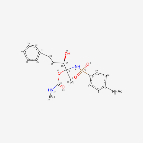 CC(=O)Nc1ccc(S(=O)(=O)NC(CC(C)C)(OC(=O)NC(C)(C)C)[C@H](O)CCc2ccccc2)cc1